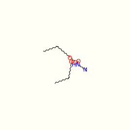 CCCCCCCC/C=C\CCCCCCCCOCC(COC(=O)NCCCCN(C)C)OCCCCCCCC/C=C\CCCCCCCC